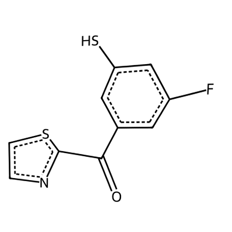 O=C(c1cc(F)cc(S)c1)c1nccs1